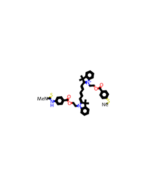 CNC(=S)Nc1ccc(C(=O)OCCN2/C(=C/C=C/C=C/C3=[N+](CCOC(=O)c4ccc(SC#N)cc4)c4ccccc4C3(C)C)C(C)(C)c3ccccc32)cc1